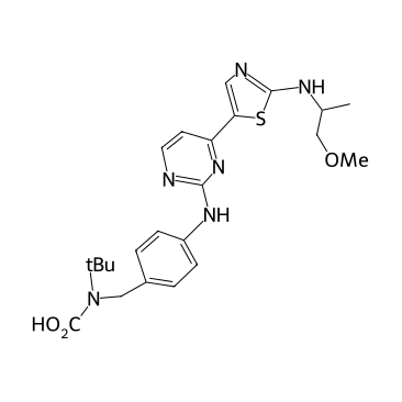 COCC(C)Nc1ncc(-c2ccnc(Nc3ccc(CN(C(=O)O)C(C)(C)C)cc3)n2)s1